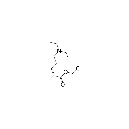 CCN(CC)CCC=C(C)C(=O)OCCl